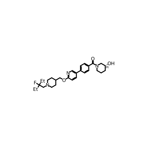 CCC(F)(CC)CN1CCC(COc2ccc(-c3ccc(C(=O)N4CCC[C@@H](O)C4)cc3)cn2)CC1